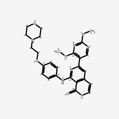 COc1ncc(-c2cc3c(c(Nc4ccc(OCCN5CCOCC5)cc4)n2)C(=O)[N]C=C3)c(OC)n1